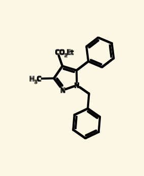 CCOC(=O)c1c(C)nn(Cc2ccccc2)c1-c1ccccc1